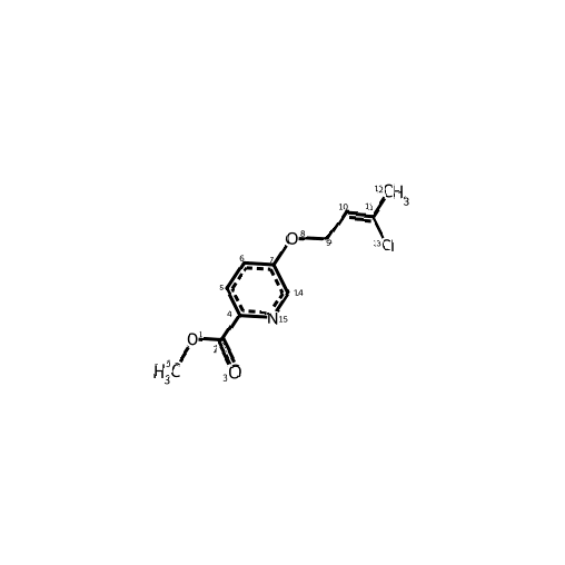 COC(=O)c1ccc(OCC=C(C)Cl)cn1